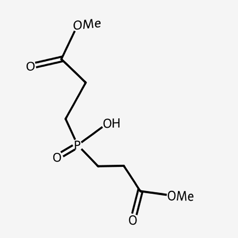 COC(=O)CCP(=O)(O)CCC(=O)OC